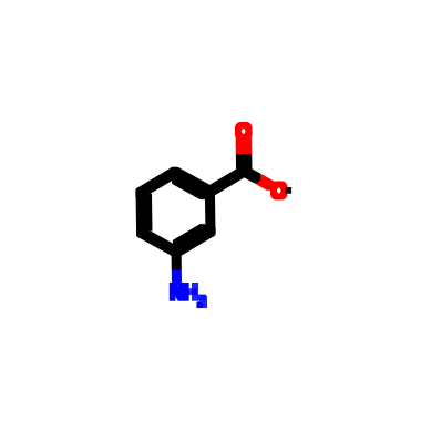 Nc1cccc(C([O])=O)c1